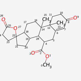 COC(=O)C1CC2=CC(=O)CCC2(C)C2(C)CCC3C(CCC34CCC(=O)O4)C12